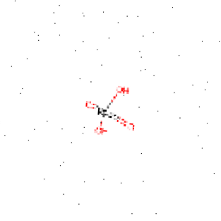 [O]=[Re](=[O])([OH])[OH]